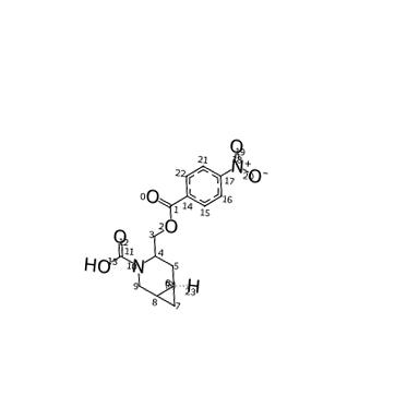 O=C(OCC1C[C@H]2CC2CN1C(=O)O)c1ccc([N+](=O)[O-])cc1